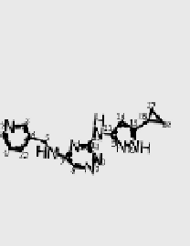 c1cncc(CNc2cnnc(Nc3cc(C4CC4)[nH]n3)n2)c1